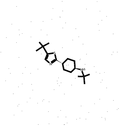 CC(C)(C)N[C@H]1CC[C@H](c2ncc(C(C)(C)C)s2)CC1